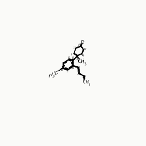 C=CCCc1cc(C)ccc1C1(C)CCC(=O)CC1